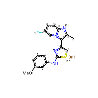 Br.COc1cccc(Nc2nc(-c3c(C)nc4ccc(F)cn34)cs2)c1